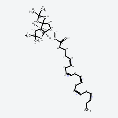 CC/C=C\C/C=C\C/C=C\C/C=C\C/C=C\CCCC(=O)OC[C@H]1OC2(OC(C)(C)O2)[C@@H]2OC(C)(C)O[C@@H]21